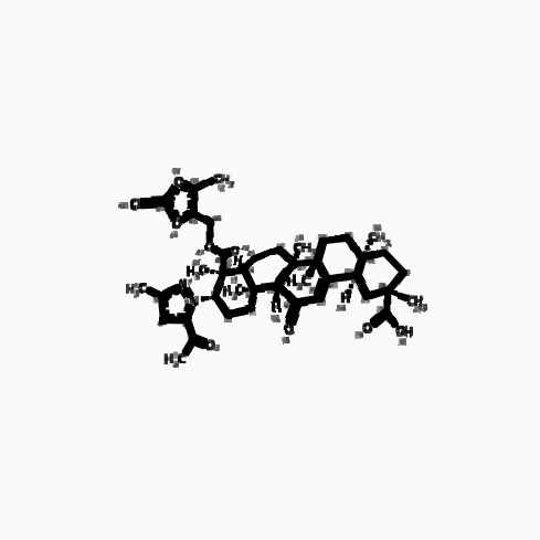 CC(=O)c1cc(C)nn1[C@H]1CC[C@@]2(C)[C@@H](CC[C@]3(C)[C@@H]2C(=O)C=C2[C@@H]4C[C@@](C)(C(=O)O)CC[C@]4(C)CC[C@]23C)[C@]1(C)C(=O)OCc1oc(=O)oc1C